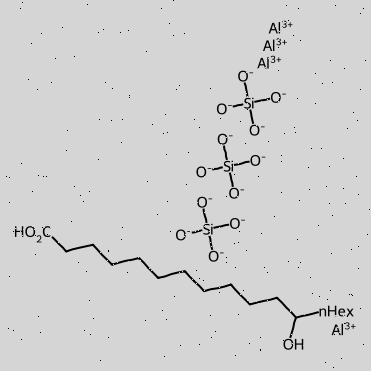 CCCCCCC(O)CCCCCCCCCCC(=O)O.[Al+3].[Al+3].[Al+3].[Al+3].[O-][Si]([O-])([O-])[O-].[O-][Si]([O-])([O-])[O-].[O-][Si]([O-])([O-])[O-]